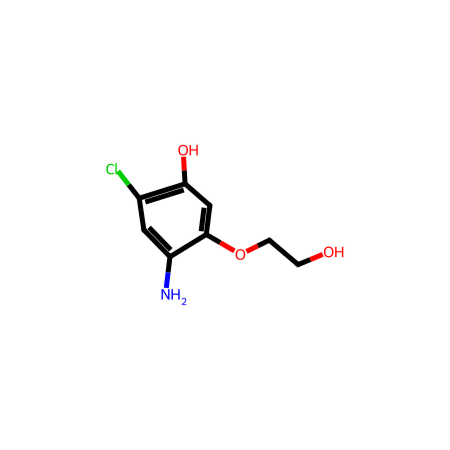 Nc1cc(Cl)c(O)cc1OCCO